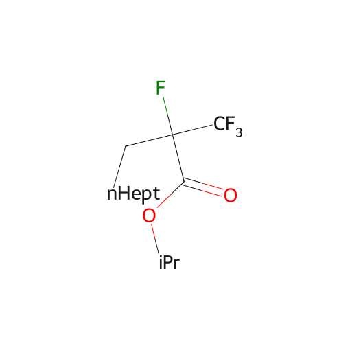 CCCCCCCCC(F)(C(=O)OC(C)C)C(F)(F)F